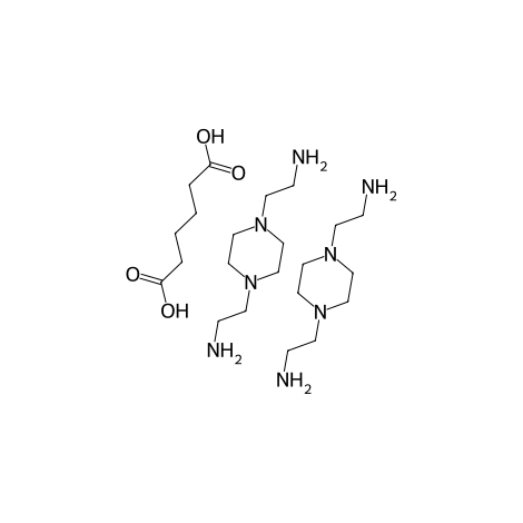 NCCN1CCN(CCN)CC1.NCCN1CCN(CCN)CC1.O=C(O)CCCCC(=O)O